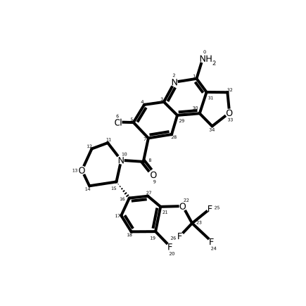 Nc1nc2cc(Cl)c(C(=O)N3CCOC[C@H]3c3ccc(F)c(OC(F)(F)F)c3)cc2c2c1COC2